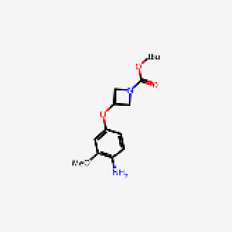 COc1cc(OC2CN(C(=O)OC(C)(C)C)C2)ccc1N